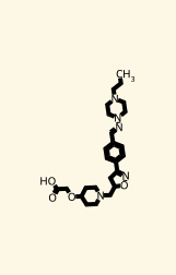 CCCN1CCN(/N=C/c2ccc(C3=NOC(CN4CCC(OCC(=O)O)CC4)C3)cc2)CC1